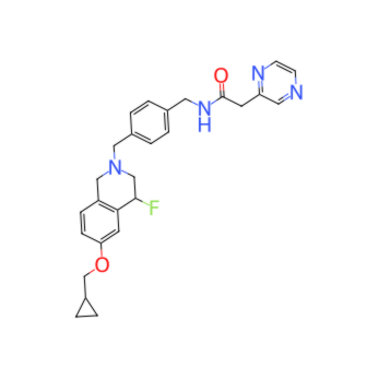 O=C(Cc1cnccn1)NCc1ccc(CN2Cc3ccc(OCC4CC4)cc3C(F)C2)cc1